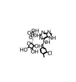 Cc1ccc(CNc2ncnc3nc[nH]c23)cc1Cl.O=P(O)(O)OC[C@H]1OC(O)[C@H](O)[C@@H]1O